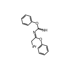 CC(C)CC(=NC(=N)Oc1ccccc1)Oc1ccccc1